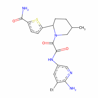 CCc1cc(NC(=O)C(=O)N2CC(C)CCC2c2ccc(C(N)=O)s2)cnc1N